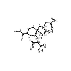 C=CC(=O)C1CCC(N)(CN(CC(=O)O)C(=O)O)C(NC(C(=O)O)C(=O)O)C1